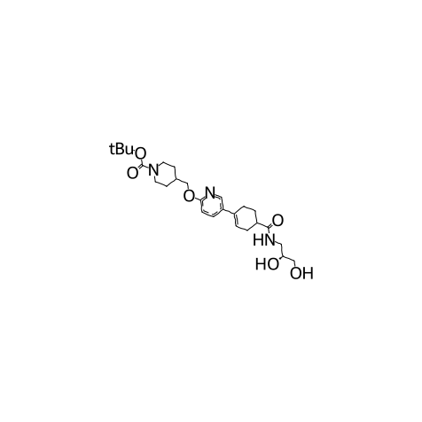 CC(C)(C)OC(=O)N1CCC(COc2ccc(C3=CCC(C(=O)NC[C@H](O)CO)CC3)cn2)CC1